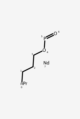 CCCCCCOP=O.[Nd]